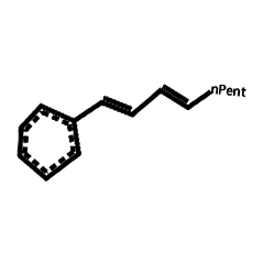 CCCCCC=CC=Cc1ccccc1